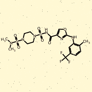 Cc1ccc(C(F)(F)F)cc1Nc1nc(C(=O)NS(=O)(=O)N2CCN(S(=O)(=O)N(C)C)CC2)co1